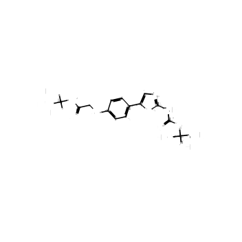 CC(C)(C)OC(=O)COc1ccc(-c2cnc(NC(=O)OC(C)(C)C)s2)cc1